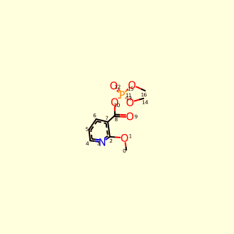 COc1ncccc1C(=O)OP(=O)(OC)OC